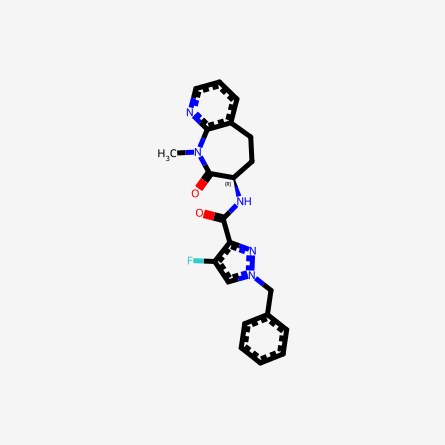 CN1C(=O)[C@H](NC(=O)c2nn(Cc3ccccc3)cc2F)CCc2cccnc21